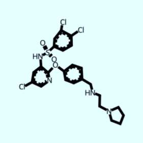 O=S(=O)(Nc1cc(Cl)cnc1Oc1ccc(CNCCN2CCCC2)cc1)c1ccc(Cl)c(Cl)c1